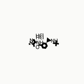 Cc1c(NC(=O)c2cccc([C@@H]3C[C@H]3NCC(C)(C)C)c2)cnn1C.Cl.Cl